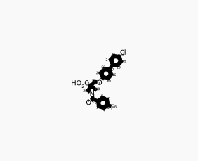 O=C(c1ccc(F)cc1)N1CC(COc2ccc(-c3ccc(Cl)cc3)cc2)(C(=O)O)C1